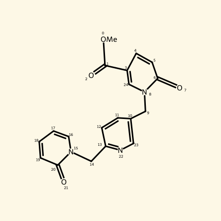 COC(=O)c1ccc(=O)n(Cc2ccc(Cn3ccccc3=O)nc2)c1